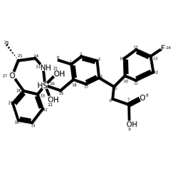 Cc1ccc(C(CC(=O)O)c2ccc(F)cc2)cc1C[SH]1(O)(O)NC[C@@H](C)Oc2ccccc21